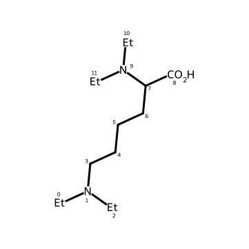 CCN(CC)CCCCC(C(=O)O)N(CC)CC